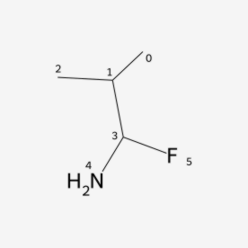 CC(C)C(N)F